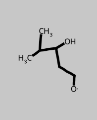 CC(C)C(O)CC[O]